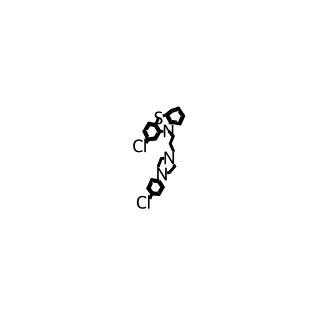 Clc1ccc(N2CCN(CCCN3c4ccccc4Sc4ccc(Cl)cc43)CC2)cc1